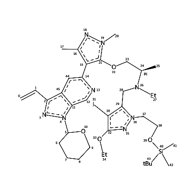 C=Cc1nn(C2CCCCO2)c2cnc(-c3c(C)nn(C)c3OC[C@@H](C)N(CC)Cc3c(I)c(OCC)nn3CCO[Si](C)(C)C(C)(C)C)cc12